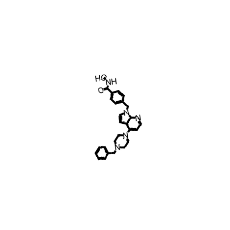 O=C(NO)c1ccc(CN2C=CC3C(N4CCN(Cc5ccccc5)CC4)=CC=NC32)cc1